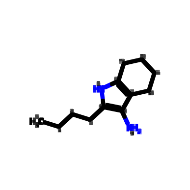 CCCCc1[nH]c2c(c1N)CCCC2